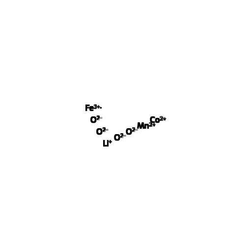 [Co+2].[Fe+3].[Li+].[Mn+2].[O-2].[O-2].[O-2].[O-2]